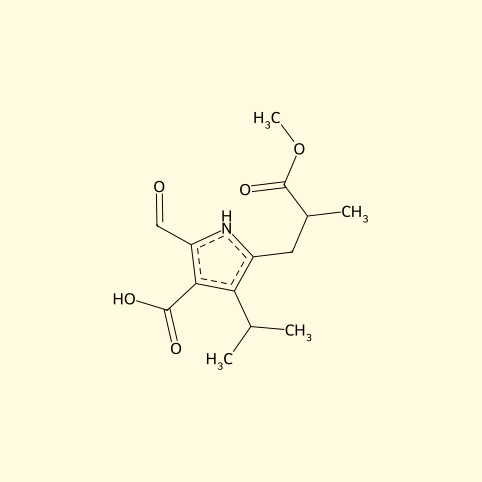 COC(=O)C(C)Cc1[nH]c(C=O)c(C(=O)O)c1C(C)C